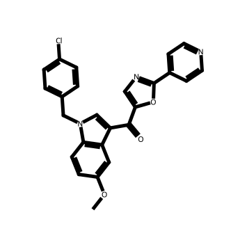 COc1ccc2c(c1)c(C(=O)c1cnc(-c3ccncc3)o1)cn2Cc1ccc(Cl)cc1